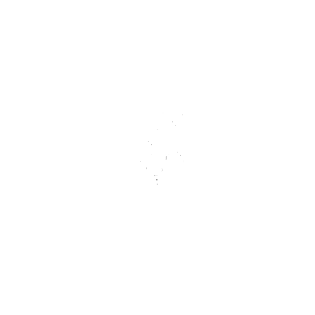 C[C@@H](NC(=O)c1cn(C23CC(C2)C3)c(=O)cc1NC1[C@H]2CNC[C@@H]12)c1cccc(C(F)F)c1F.Cl